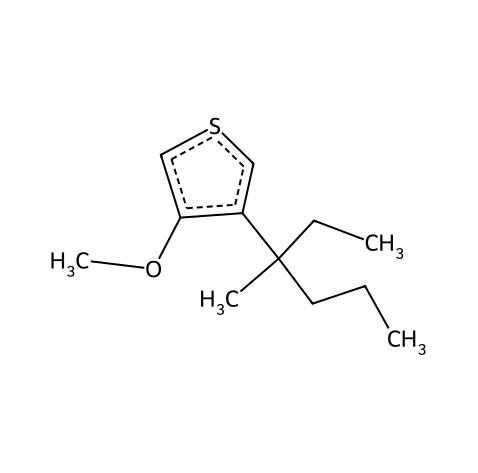 CCCC(C)(CC)c1cscc1OC